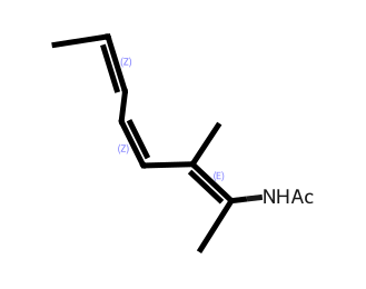 C\C=C/C=C\C(C)=C(/C)NC(C)=O